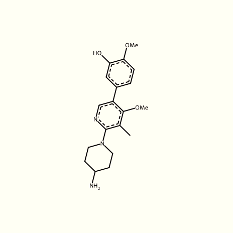 COc1ccc(-c2cnc(N3CCC(N)CC3)c(C)c2OC)cc1O